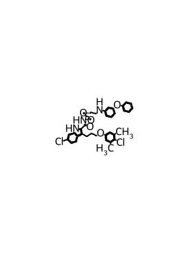 Cc1cc(OCCCc2c(C(=O)NS(=O)(=O)CCNc3cccc(Oc4ccccc4)c3)[nH]c3cc(Cl)ccc23)cc(C)c1Cl